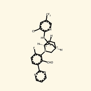 O=Cc1c(-c2ncccn2)ccc(F)c1N1C[C@@H]2CC[C@H]1[C@H](Nc1ncc(C(F)(F)F)cc1Cl)C2